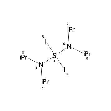 CC(C)N(C(C)C)[Si](I)(I)N(C(C)C)C(C)C